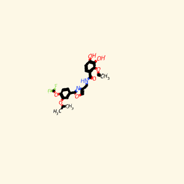 CCOc1c(C(=O)NCc2coc(-c3ccc(OC(F)F)c(OC(C)C)c3)n2)ccc(O)c1O